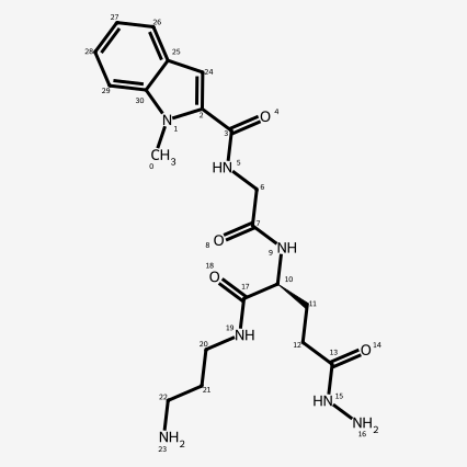 Cn1c(C(=O)NCC(=O)N[C@@H](CCC(=O)NN)C(=O)NCCCN)cc2ccccc21